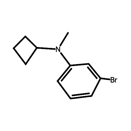 CN(c1cccc(Br)c1)C1CCC1